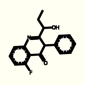 CCC(O)C1=Nc2cccc(F)c2C(=O)C1c1ccccc1